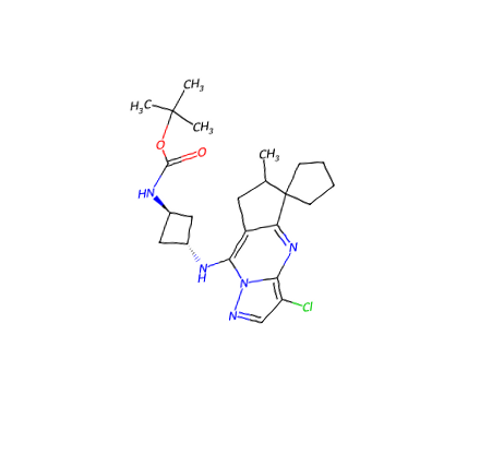 CC1Cc2c(nc3c(Cl)cnn3c2N[C@H]2C[C@H](NC(=O)OC(C)(C)C)C2)C12CCCC2